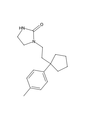 Cc1ccc(C2(CCN3CCNC3=O)CCCC2)cc1